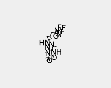 CO[C@H](C)C1C(=O)Nc2c(C)nc(NC3CC(Cc4nc(C(F)(F)F)no4)C3)nc2N1C